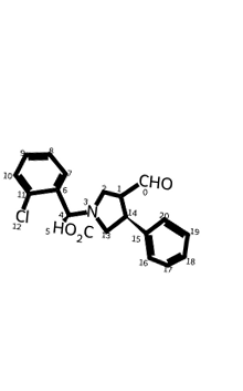 O=CC1CN([C@@H](C(=O)O)c2ccccc2Cl)C[C@@H]1c1ccccc1